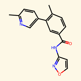 Cc1ccc(-c2cc(C(=O)Nc3ccon3)ccc2C)cn1